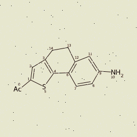 CC(=O)c1cc2c(s1)-c1ccc(N)cc1CC2